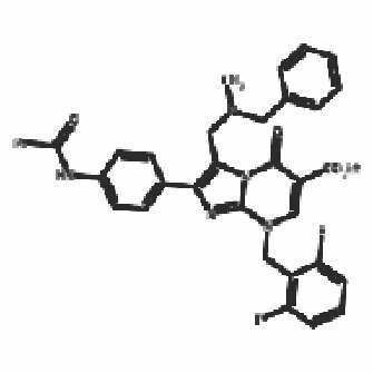 CCOC(=O)c1cn(Cc2c(F)cccc2F)c2nc(-c3ccc(NC(=O)C(C)C)cc3)c(CN(C)Cc3ccccc3)n2c1=O